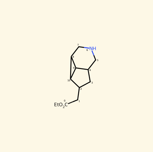 CCOC(=O)CC1CC2CNCC3C2C13